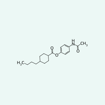 CCCCC1CCC(C(=O)Oc2ccc(NC(C)=O)cc2)CC1